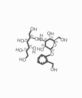 OC[C@@H](O)[C@@H](O)[C@H](O)[C@@H](O)CO.OCc1ccccc1O[C@@H]1O[C@H](CO)[C@@H](O)[C@H](O)[C@H]1O